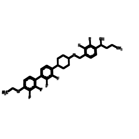 CCCC(O)c1ccc(COC2CCC(c3ccc(-c4ccc(OCC)c(F)c4F)c(F)c3F)CC2)c(F)c1F